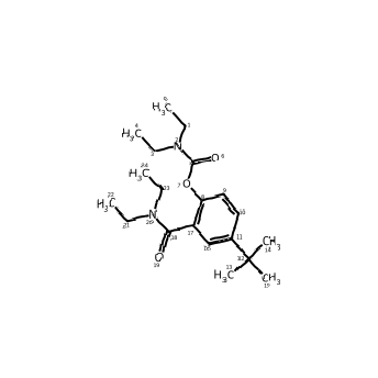 CCN(CC)C(=O)Oc1ccc(C(C)(C)C)cc1C(=O)N(CC)CC